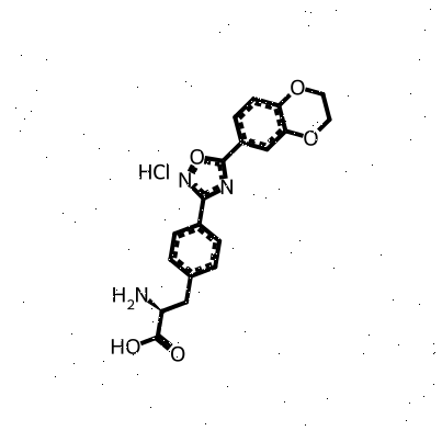 Cl.N[C@@H](Cc1ccc(-c2noc(-c3ccc4c(c3)OCCO4)n2)cc1)C(=O)O